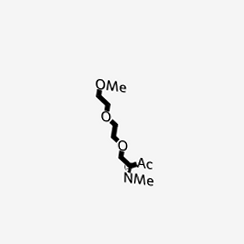 CN[C@@H](COCCOCCOC)C(C)=O